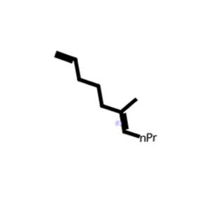 C=CCCC/C(C)=C/CCC